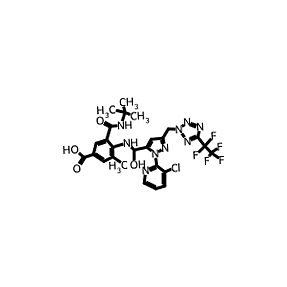 Cc1cc(C(=O)O)cc(C(=O)NC(C)(C)C)c1NC(O)c1cc(Cn2nnc(C(F)(F)C(F)(F)F)n2)nn1-c1ncccc1Cl